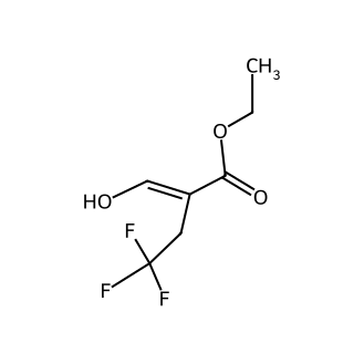 CCOC(=O)C(=CO)CC(F)(F)F